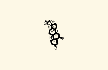 C[C@]12CCC(=O)C=C1C(F)C[C@@H]1[C@@H]2CC[C@@]2(C)[C@H]1CC[C@@]2(O)O[Si](C)(C)C